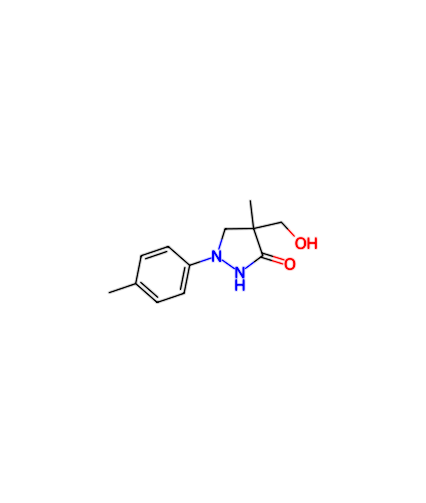 Cc1ccc(N2CC(C)(CO)C(=O)N2)cc1